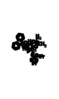 CC(C)OP(=O)(/C=C/[C@]12C[C@@H]1[C@H](O[Si](c1ccccc1)(c1ccccc1)C(C)(C)C)[C@@H]1OC(C)(C)O[C@@H]12)OC(C)C